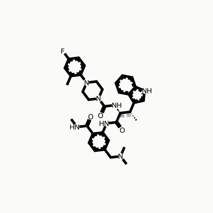 CNC(=O)c1ccc(CN(C)C)cc1NC(=O)[C@H](NC(=O)N1CCN(c2ccc(F)cc2C)CC1)[C@@H](C)c1c[nH]c2ccccc12